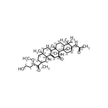 CON(CCO)C(=O)[C@@]1(C)CC[C@]2(C)CC[C@]3(C)C(=CC(=O)[C@@H]4[C@@]5(C)CC[C@H](NC(C)=O)C(C)(C)C5CC[C@]43C)[C@@H]2C1